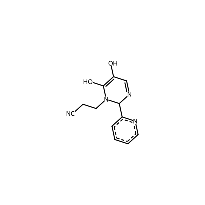 N#CCCN1C(O)=C(O)C=NC1c1ccccn1